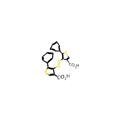 O=C(O)c1csc(-c2ccccc2)c1SSc1c(C(=O)O)csc1-c1ccccc1